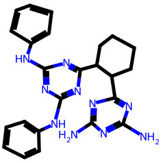 Nc1nc(N)nc(C2CCCCC2c2nc(Nc3ccccc3)nc(Nc3ccccc3)n2)n1